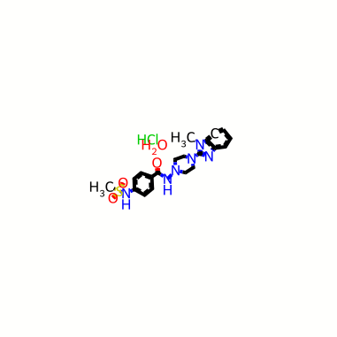 Cl.Cn1c(N2CCN(NC(=O)c3ccc(NS(C)(=O)=O)cc3)CC2)nc2ccccc21.O